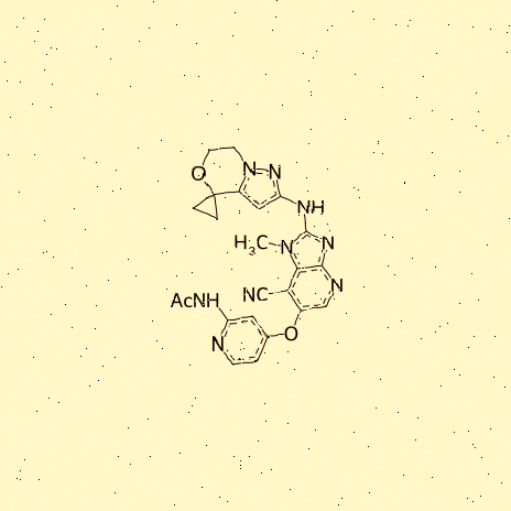 CC(=O)Nc1cc(Oc2cnc3nc(Nc4cc5n(n4)CCOC54CC4)n(C)c3c2C#N)ccn1